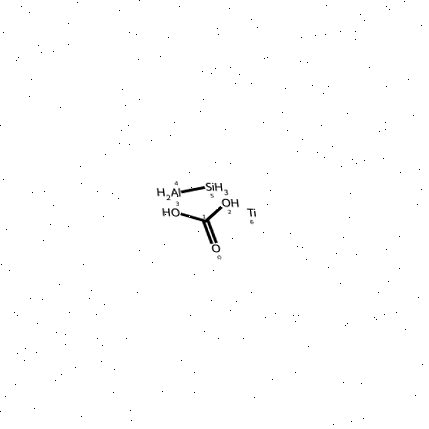 O=C(O)O.[AlH2][SiH3].[Ti]